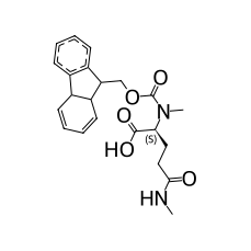 CNC(=O)CC[C@@H](C(=O)O)N(C)C(=O)OCC1c2ccccc2C2C=CC=CC21